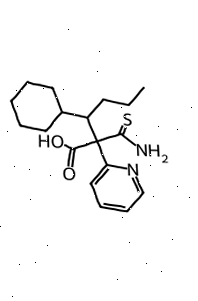 CCCC(C1CCCCC1)C(C(=O)O)(C(N)=S)c1ccccn1